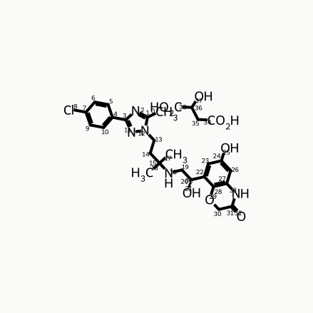 Cc1nc(-c2ccc(Cl)cc2)nn1CCC(C)(C)NC[C@H](O)c1cc(O)cc2c1OCC(=O)N2.O=C(O)CC(O)C(=O)O